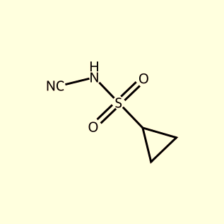 N#CNS(=O)(=O)C1CC1